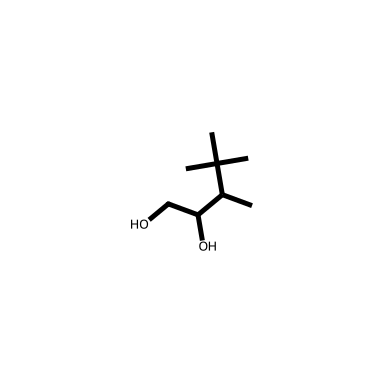 CC(C(O)CO)C(C)(C)C